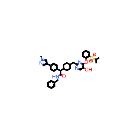 CC(C)S(=O)(=O)c1ccccc1Oc1nc(CC2CCC(C(C(=O)NCc3ccccc3)c3ccc(-c4cnn(C)c4)cc3)CC2)ncc1O